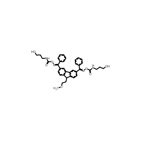 COCCC1c2ccc(/C(=N/OC(=O)NCCCO)c3ccccc3)cc2-c2cc(/C(=N/OC(=O)NCCCO)c3ccccc3)ccc21